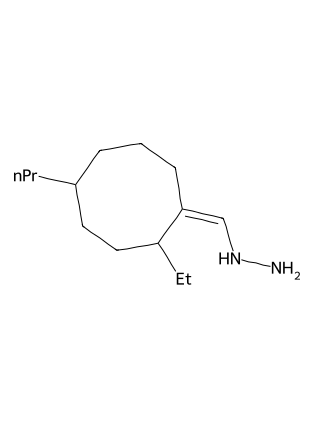 CCCC1CCC/C(=C/NN)C(CC)CC1